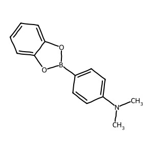 CN(C)c1ccc(B2Oc3ccccc3O2)cc1